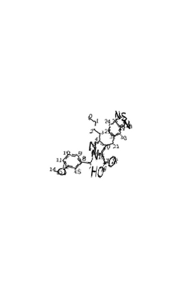 CCCCc1nn(Cc2cccc(OC)c2)c(C(=O)O)c1Cc1ccc2nsnc2c1